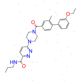 CCCNC(=O)c1ccc(N2CCN(C(=O)c3ccc(-c4cccc(OCC)c4)c(C)c3)CC2)nn1